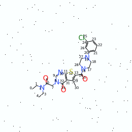 CCN(CC)C(=O)Cn1cnc2sc(C(=O)N3CCN(c4cccc(Cl)c4)CC3)c(C)c2c1=O